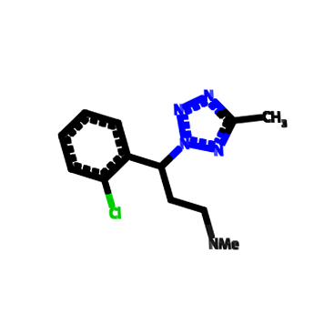 CNCCC(c1ccccc1Cl)n1nnc(C)n1